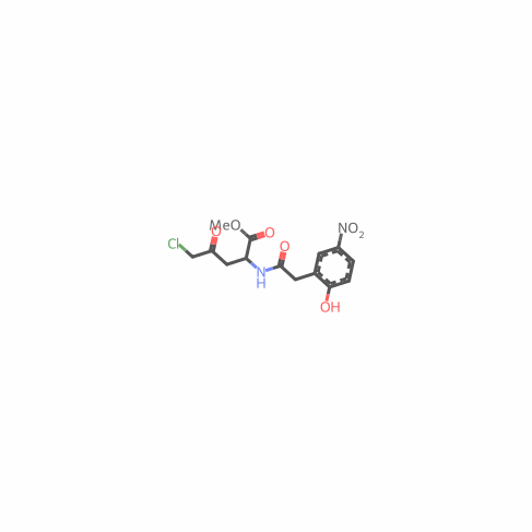 COC(=O)C(CC(=O)CCl)NC(=O)Cc1cc([N+](=O)[O-])ccc1O